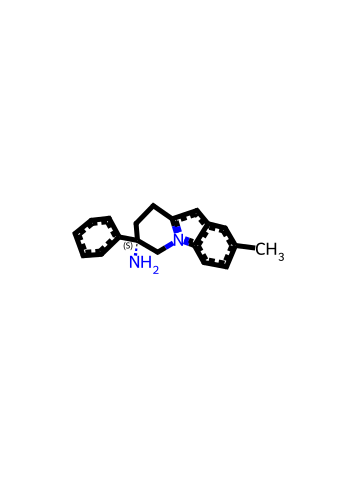 Cc1ccc2c(c1)cc1n2C[C@@](N)(c2ccccc2)CC1